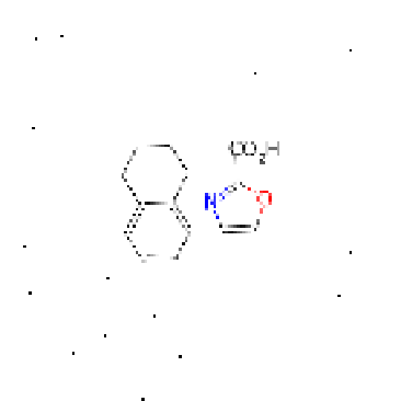 O=C(O)c1ncco1.c1ccc2c(c1)CCCC2